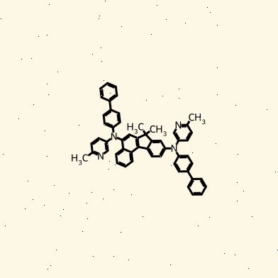 Cc1ccc(N(c2ccc(-c3ccccc3)cc2)c2ccc3c(c2)C(C)(C)c2cc(N(c4ccc(-c5ccccc5)cc4)c4ccc(C)nc4)c4ccccc4c2-3)cn1